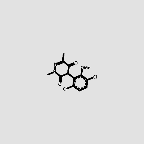 COc1c(Cl)ccc(Cl)c1C1C(=O)C(C)=NN(C)C1=O